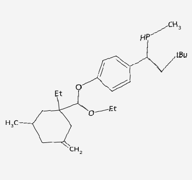 C=C1CC(C)CC(CC)(C(OCC)Oc2ccc(C(CC(C)(C)C)PC)cc2)C1